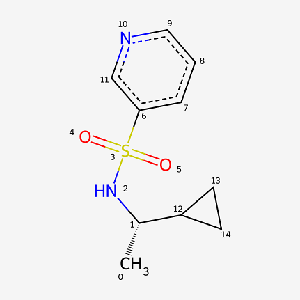 C[C@H](NS(=O)(=O)c1cccnc1)C1CC1